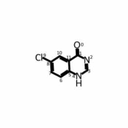 O=c1nc[nH]c2ccc(Cl)cc12